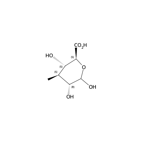 C[C@H]1[C@H](O)[C@@H](C(=O)O)OC(O)[C@@H]1O